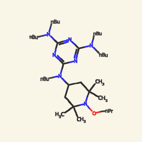 CCCCN(CCCC)c1nc(N(CCCC)CCCC)nc(N(CCCC)C2CC(C)(C)N(OCCC)C(C)(C)C2)n1